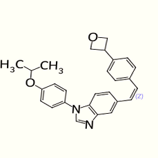 CC(C)Oc1ccc(-n2cnc3cc(/C=C\c4ccc(C5COC5)cc4)ccc32)cc1